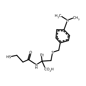 CCC(CSCc1ccc(N(C)C)cc1)(NC(=O)CCS)C(=O)O